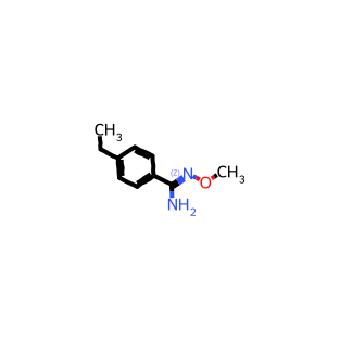 CCc1ccc(/C(N)=N/OC)cc1